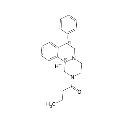 CCCC(=O)N1CCN2C[C@@H](c3ccccc3)c3ccccc3[C@@H]2C1